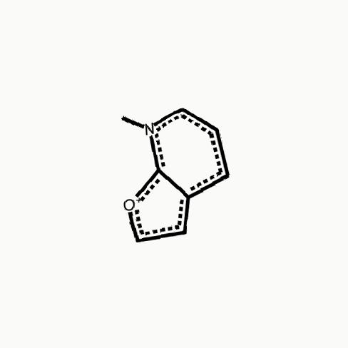 Cn1cccc2cc[o+]c1-2